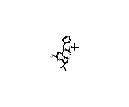 CC(C)c1cnn2c(N(Cc3ccncc3)C(=O)OC(C)(C)C)cc(Cl)nc12